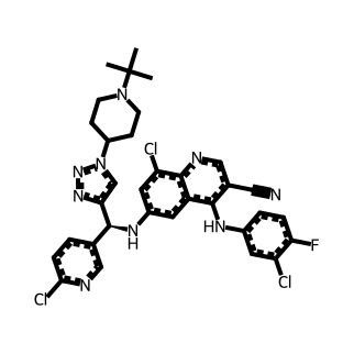 CC(C)(C)N1CCC(n2cc([C@@H](Nc3cc(Cl)c4ncc(C#N)c(Nc5ccc(F)c(Cl)c5)c4c3)c3ccc(Cl)nc3)nn2)CC1